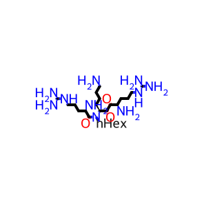 CCCCCCN(C(=O)[C@@H](N)CCCNC(N)N)[C@@H](CCCCN)C(=O)C(=O)[C@@H](N)CCCNC(N)N